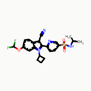 CC(C)NS(=O)(=O)c1ccc(-c2c(C#N)c3ccc(OC(F)F)cc3n2C2CCC2)nc1